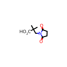 CC(C)(CN1C(=O)CCC1=O)C(=O)O